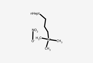 CCCCCCCCCC[N+](C)(C)C.O=[N+]([O-])[O-]